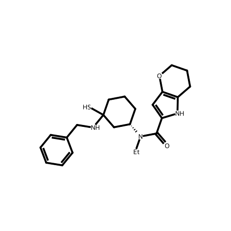 CCN(C(=O)c1cc2c([nH]1)CCCO2)[C@H]1CCCC(S)(NCc2ccccc2)C1